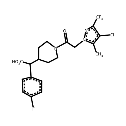 Cc1c(Cl)c(C(F)(F)F)nn1CC(=O)N1CCC(C(C(=O)O)c2ccc(F)cc2)CC1